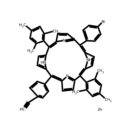 C#Cc1ccc(-c2c3nc(c(-c4c(C)cc(C)cc4C)c4ccc([nH]4)c(-c4ccc(Br)cc4)c4nc(c(-c5c(C)cc(C)cc5C)c5ccc2[nH]5)C=C4)C=C3)cc1.[Zn]